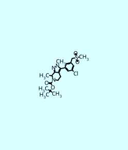 CC1c2nn(C)c(-c3cc(Cl)cc(CS(C)(=O)=O)c3)c2CCN1C(=O)OC(C)(C)C